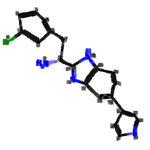 N[C@H](Cc1cccc(Br)c1)c1nc2cc(-c3ccncc3)ccc2[nH]1